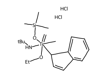 Cl.Cl.[CH2]=[Ti]([CH3])([NH]C(C)(C)C)([O]CC)([O][Si](C)(C)C)[CH]1C=Cc2ccccc21